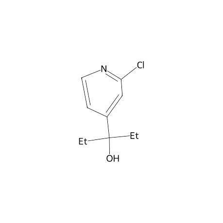 CCC(O)(CC)c1ccnc(Cl)c1